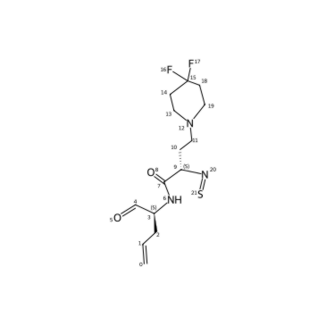 C=CC[C@@H](C=O)NC(=O)[C@H](CCN1CCC(F)(F)CC1)N=S